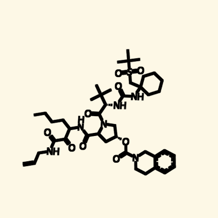 C=CCNC(=O)C(=O)C(CCCC)NC(=O)C1C[C@@H](OC(=O)N2CCc3ccccc3C2)CN1C(=O)[C@@H](NC(=O)NC1(CS(=O)(=O)C(C)(C)C)CCCCC1)C(C)(C)C